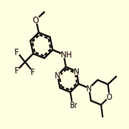 COc1cc(Nc2ncc(Br)c(N3CC(C)OC(C)C3)n2)cc(C(F)(F)F)c1